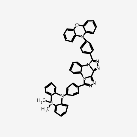 C[Si]1(C)c2ccccc2N(c2ccc(-c3nnc4c5nnc(-c6ccc(N7c8ccccc8Oc8ccccc87)cc6)n5c5ccccc5n34)cc2)c2ccccc21